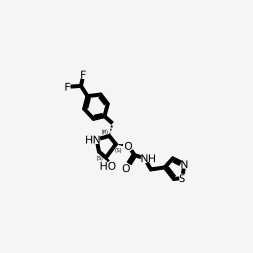 O=C(NCc1cnsc1)O[C@@H]1[C@@H](O)CN[C@@H]1Cc1ccc(C(F)F)cc1